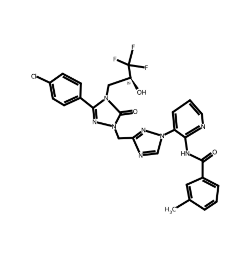 Cc1cccc(C(=O)Nc2ncccc2-n2cnc(Cn3nc(-c4ccc(Cl)cc4)n(C[C@H](O)C(F)(F)F)c3=O)n2)c1